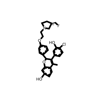 CC1=C(c2ccc(Cl)c(O)c2)C(c2ccc(OCCN3CC[C@@H](CF)C3)cc2)Oc2cc(O)ccc21